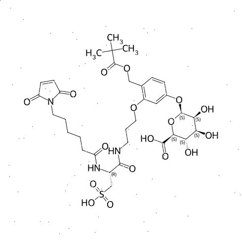 CC(C)(C)C(=O)OCc1ccc(O[C@@H]2O[C@H](C(=O)O)[C@@H](O)[C@H](O)[C@@H]2O)cc1OCCCNC(=O)[C@H](CS(=O)(=O)O)NC(=O)CCCCCN1C(=O)C=CC1=O